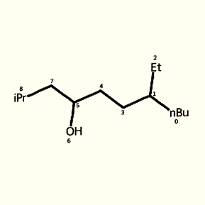 CCCCC(CC)CCC(O)CC(C)C